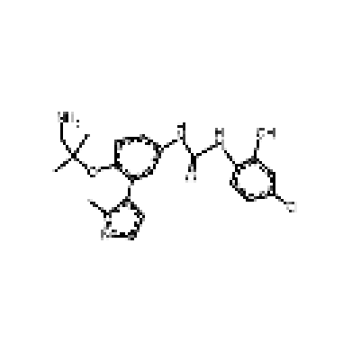 Cn1nccc1-c1cc(NC(=O)Nc2ccc(Cl)cc2O)ccc1OC(C)(C)CN